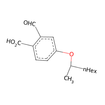 CCCCCCC(C)Oc1ccc(C(=O)O)c(C=O)c1